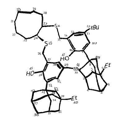 CCC12CC3CC(C1)CC(c1cc(C(C)(C)C)cc(CSC4CCCCCC[C@@H]4SCc4cc(C(C)(C)C)cc(C56CC7CC(CC(CC)(C7)C5)C6)c4O)c1O)(C3)C2